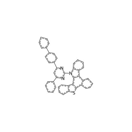 c1ccc(-c2ccc(-c3cc(-c4ccccc4)nc(-n4c5ccccc5c5c6ccccc6c6sc7ccccc7c6c54)n3)cc2)cc1